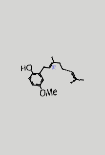 COc1ccc(O)c(C/C=C(\C)CCC=C(C)C)c1